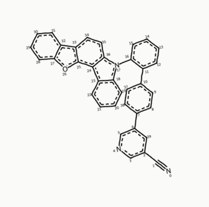 N#Cc1cncc(-c2ccc(-c3ccccc3-n3c4ccccc4c4c5oc6ccccc6c5ccc43)cc2)c1